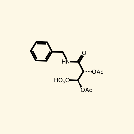 CC(=O)O[C@@H](C(=O)O)[C@@H](OC(C)=O)C(=O)NCc1ccccc1